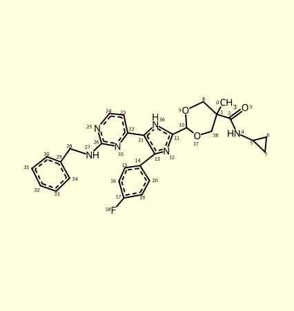 CC1(C(=O)NC2CC2)COC(c2nc(-c3ccc(F)cc3)c(-c3ccnc(NCc4ccccc4)n3)[nH]2)OC1